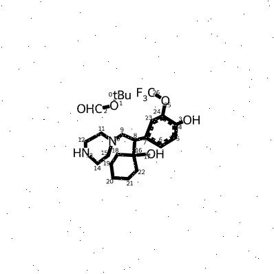 CC(C)(C)OC=O.Oc1ccc(C(CN2CCNCC2)C2(O)CCCCC2)cc1OC(F)(F)F